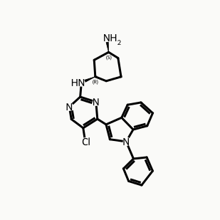 N[C@H]1CCC[C@@H](Nc2ncc(Cl)c(-c3cn(-c4ccccc4)c4ccccc34)n2)C1